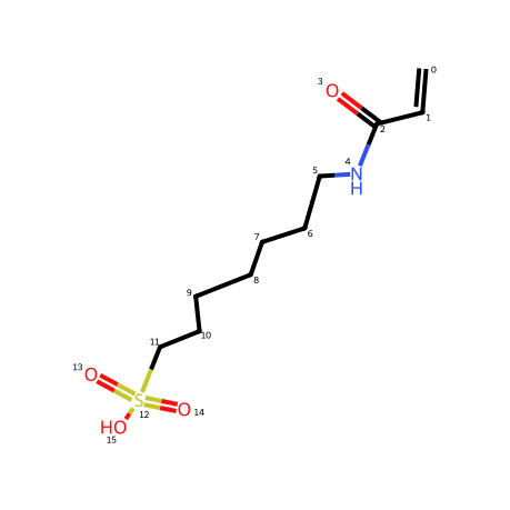 C=CC(=O)NCCCCCCCS(=O)(=O)O